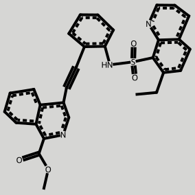 CCc1ccc2cccnc2c1S(=O)(=O)Nc1ccccc1C#Cc1cnc(C(=O)OC)c2ccccc12